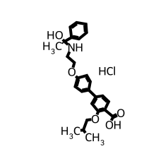 CC(C)COc1cc(-c2ccc(OCCN[C@@](C)(O)c3ccccc3)cc2)ccc1C(=O)O.Cl